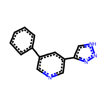 c1ccc(-c2cncc(-c3c[nH]nn3)c2)cc1